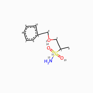 CC(COCc1ccccc1)S(N)(=O)=O